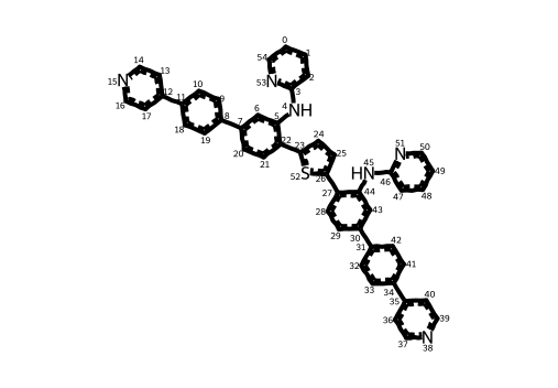 c1ccc(Nc2cc(-c3ccc(-c4ccncc4)cc3)ccc2-c2ccc(-c3ccc(-c4ccc(-c5ccncc5)cc4)cc3Nc3ccccn3)s2)nc1